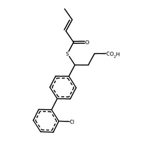 CC=CC(=O)SC(CCC(=O)O)c1ccc(-c2ccccc2Cl)cc1